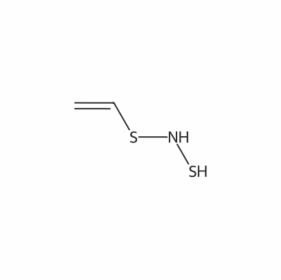 C=CSNS